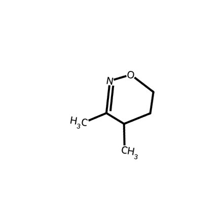 CC1=NOCCC1C